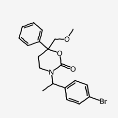 COCC1(c2ccccc2)CCN(C(C)c2ccc(Br)cc2)C(=O)O1